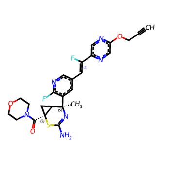 C#CCOc1cnc(/C(F)=C/c2cnc(F)c([C@@]3(C)N=C(N)S[C@@]4(C(=O)N5CCOCC5)CC43)c2)cn1